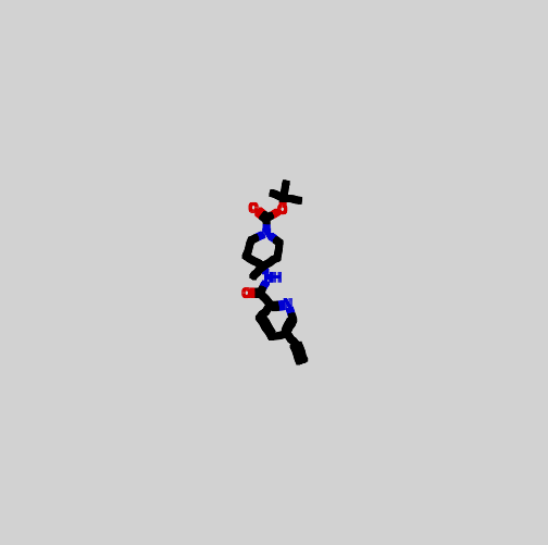 C#Cc1ccc(C(=O)NC2(C)CCN(C(=O)OC(C)(C)C)CC2)nc1